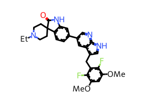 CCN1CCC2(CC1)C(=O)Nc1cc(-c3cnc4[nH]cc(Cc5c(F)c(OC)cc(OC)c5F)c4c3)ccc12